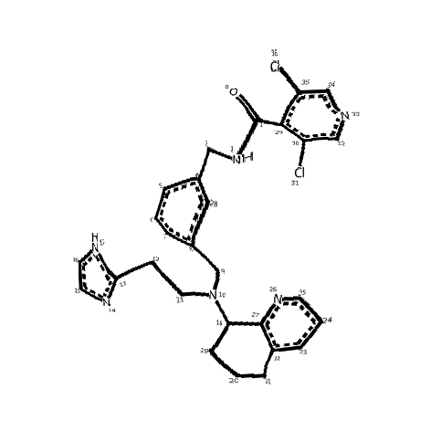 O=C(NCc1cccc(CN(CCc2ncc[nH]2)C2CCCc3cccnc32)c1)c1c(Cl)cncc1Cl